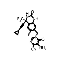 N#Cc1ncn(Cc2cc3c(cc2F)[C@@](C#CC2CC2)(C(F)(F)F)NC(=O)N3)c(=O)c1N